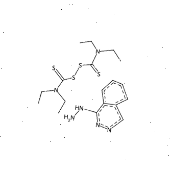 CCN(CC)C(=S)SSC(=S)N(CC)CC.NNc1nncc2ccccc12